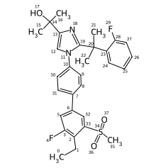 CCc1c(F)cc(-c2ccc(-n3cc(C(C)(C)O)nc3C(C)(C)c3ccccc3F)cc2)cc1S(C)(=O)=O